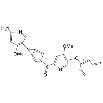 C=C/C=C(\C=C)Oc1cnc(C(=O)n2cc3c(c2)N3c2cnc(N)cc2OC)cc1OC